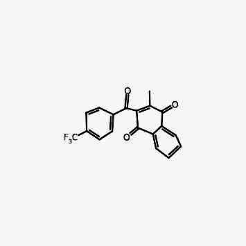 CC1=C(C(=O)c2ccc(C(F)(F)F)cc2)C(=O)c2ccccc2C1=O